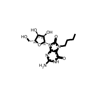 CCCCn1c(=O)n([C@@H]2O[C@H](CO)[C@@H](O)[C@H]2O)c2nc(N)[nH]c(=O)c21